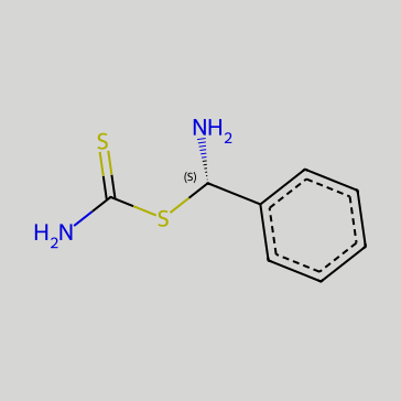 NC(=S)S[C@H](N)c1ccccc1